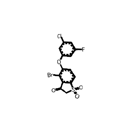 O=C1CS(=O)(=O)c2ccc(Oc3cc(F)cc(Cl)c3)c(Br)c21